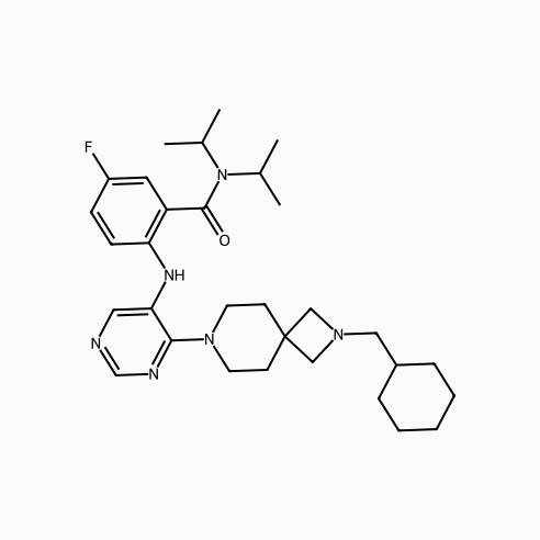 CC(C)N(C(=O)c1cc(F)ccc1Nc1cncnc1N1CCC2(CC1)CN(CC1CCCCC1)C2)C(C)C